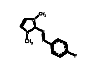 CN1C=CN(C)C1/N=N/c1ccc(F)cc1